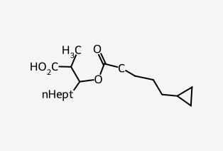 CCCCCCCC(OC(=O)CCCCC1CC1)C(C)C(=O)O